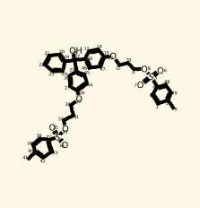 Cc1ccc(S(=O)(=O)OCCCOc2ccc(C(O)(c3ccccc3)c3ccc(OCCCOS(=O)(=O)c4ccc(C)cc4)cc3)cc2)cc1